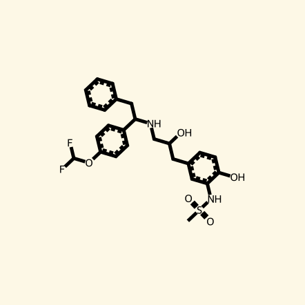 CS(=O)(=O)Nc1cc(CC(O)CNC(Cc2ccccc2)c2ccc(OC(F)F)cc2)ccc1O